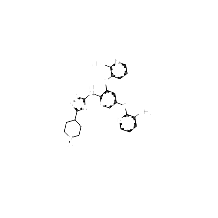 CC(=O)N1CCC(c2nsc(Nc3ncc(Sc4ncccc4C)cc3Oc3cccnc3C)n2)CC1